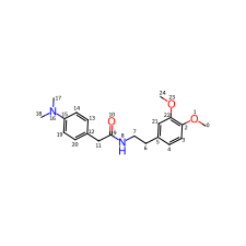 COc1ccc(CCNC(=O)Cc2ccc(N(C)C)cc2)cc1OC